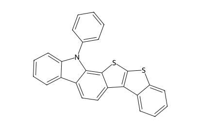 c1ccc(-n2c3ccccc3c3ccc4c(sc5sc6ccccc6c54)c32)cc1